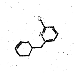 Clc1cccc(CC2CC=CCC2)n1